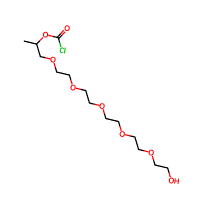 CC(COCCOCCOCCOCCOCCO)OC(=O)Cl